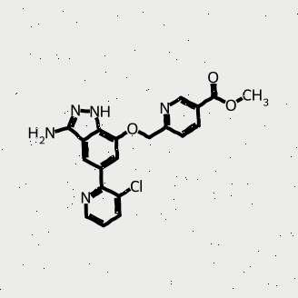 COC(=O)c1ccc(COc2cc(-c3ncccc3Cl)cc3c(N)n[nH]c23)nc1